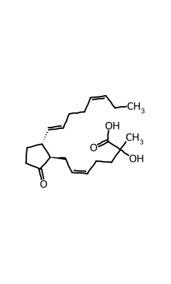 CC/C=C\CC/C=C/[C@H]1CCC(=O)[C@@H]1C/C=C\CCC(C)(O)C(=O)O